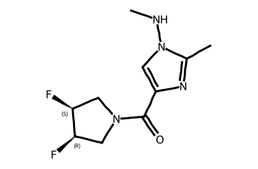 CNn1cc(C(=O)N2C[C@@H](F)[C@@H](F)C2)nc1C